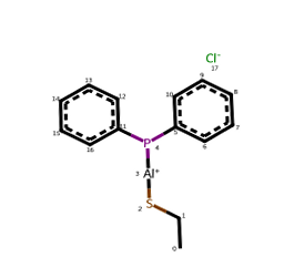 CC[S][Al+][P](c1ccccc1)c1ccccc1.[Cl-]